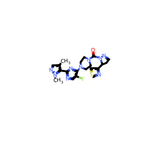 Cc1cnn(C)c1-c1ncc(F)c(N2CCN(C(=O)N3N=CCC3c3cscn3)CC2)n1